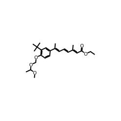 CCOC(=O)/C=C(C)/C=C/C=C(\C)c1ccc(OCOC(C)OC)c(C(C)(C)C)c1